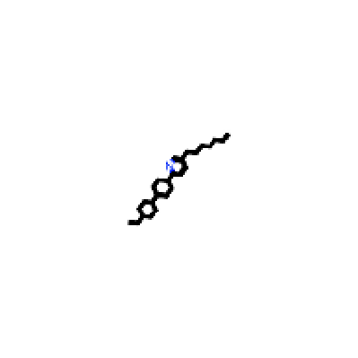 CCCCCCCc1ccc(C2CCC(C3CCC(CC)CC3)CC2)nc1